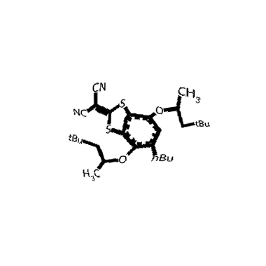 CCCCc1cc(OC(C)CC(C)(C)C)c2c(c1OC(C)CC(C)(C)C)SC(=C(C#N)C#N)S2